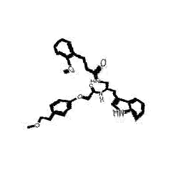 COCCc1ccc(OCC(=O)NC(CNC(=O)CCc2ccccc2OC)Cc2c[nH]c3ccccc23)cc1